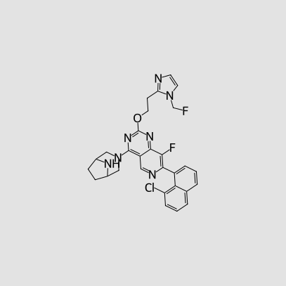 FCn1ccnc1CCOc1nc(N2CC3CCC(C2)N3)c2cnc(-c3cccc4cccc(Cl)c34)c(F)c2n1